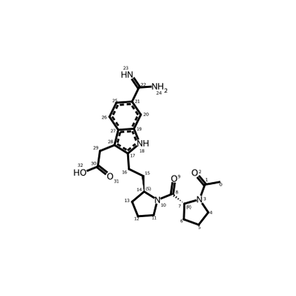 CC(=O)N1CCC[C@@H]1C(=O)N1CCC[C@H]1CCc1[nH]c2cc(C(=N)N)ccc2c1CC(=O)O